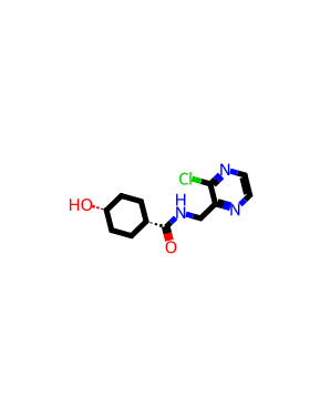 O=C(NCc1nccnc1Cl)[C@H]1CC[C@@H](O)CC1